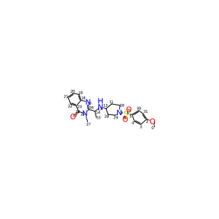 COc1ccc(S(=O)(=O)N2CCC(NC(C)c3nc4ccccc4c(=O)n3C)CC2)cc1